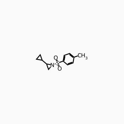 Cc1ccc(S(=O)(=O)[N@]2CC2C2CC2)cc1